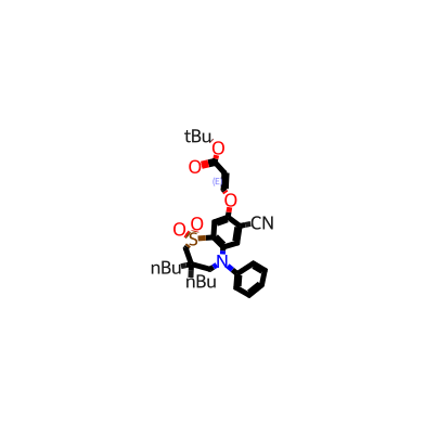 CCCCC1(CCCC)CN(c2ccccc2)c2cc(C#N)c(O/C=C/C(=O)OC(C)(C)C)cc2S(=O)(=O)C1